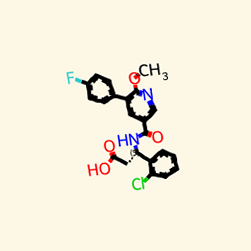 COc1ncc(C(=O)N[C@@H](CC(=O)O)c2ccccc2Cl)cc1-c1ccc(F)cc1